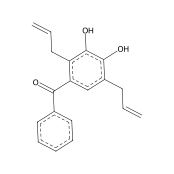 C=CCc1cc(C(=O)c2ccccc2)c(CC=C)c(O)c1O